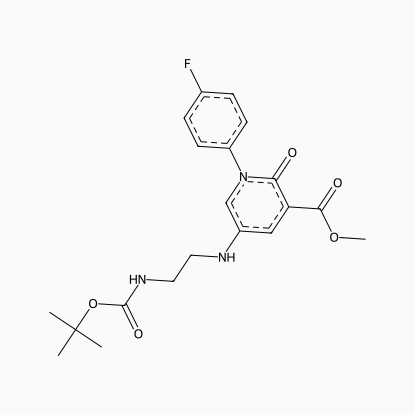 COC(=O)c1cc(NCCNC(=O)OC(C)(C)C)cn(-c2ccc(F)cc2)c1=O